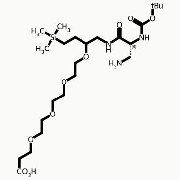 CC(C)(C)OC(=O)N[C@H](CN)C(=O)NCC(CC[Si](C)(C)C)OCCOCCOCCOCCC(=O)O